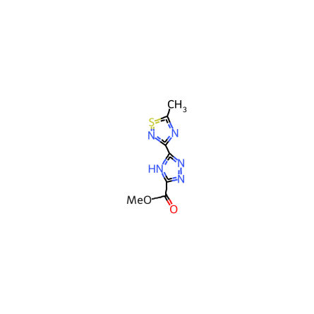 COC(=O)c1nnc(-c2nsc(C)n2)[nH]1